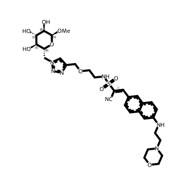 CO[C@H]1O[C@H](Cn2cc(COCCNS(=O)(=O)/C(C#N)=C/c3ccc4cc(NCCN5CCOCC5)ccc4c3)nn2)[C@@H](O)[C@H](O)[C@H]1O